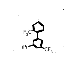 CC(C)c1cc(-c2ccccc2C(F)(F)F)cc(C(F)(F)F)c1